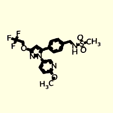 COc1ccc(-n2nc(OCC(F)(F)F)cc2-c2ccc(CNS(C)(=O)=O)cc2)cn1